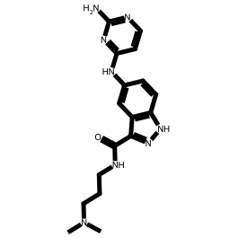 CN(C)CCCNC(=O)c1n[nH]c2ccc(Nc3ccnc(N)n3)cc12